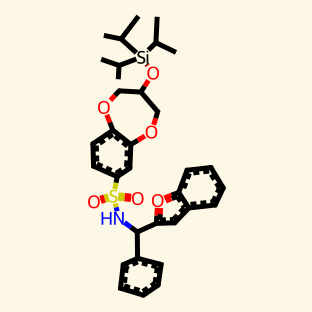 CC(C)[Si](OC1COc2ccc(S(=O)(=O)NC(c3ccccc3)c3cc4ccccc4o3)cc2OC1)(C(C)C)C(C)C